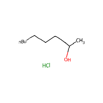 CCCCCCCC(C)O.Cl